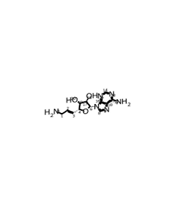 NC/C=C/[C@H]1O[C@@H](n2cnc3c(N)ncnc32)[C@H](O)[C@@H]1O